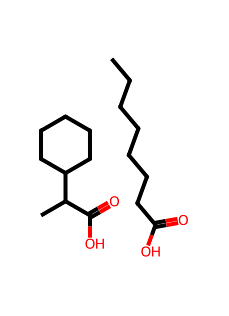 CC(C(=O)O)C1CCCCC1.CCCCCCCC(=O)O